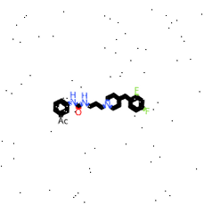 CC(=O)c1cccc(NC(=O)NCCCN2CCC(Cc3ccc(F)cc3F)CC2)c1